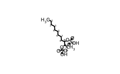 CCCCCCCCCC(OS(=O)(=O)O)C(C)OS(=O)(=O)O